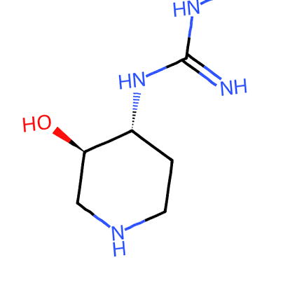 CNC(=N)N[C@@H]1CCNC[C@H]1O